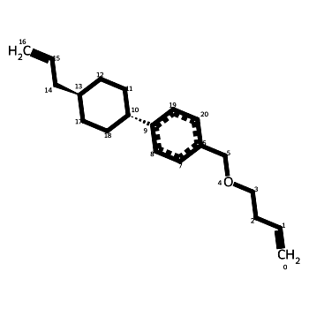 C=CCCOCc1ccc([C@H]2CC[C@H](CC=C)CC2)cc1